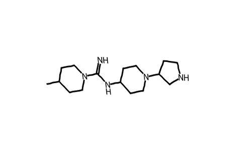 CC1CCN(C(=N)NC2CCN(C3CCNC3)CC2)CC1